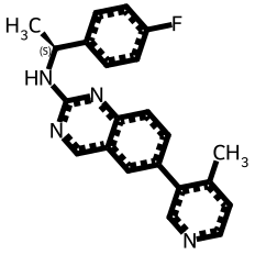 Cc1ccncc1-c1ccc2nc(N[C@@H](C)c3ccc(F)cc3)ncc2c1